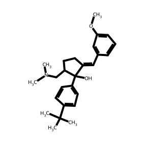 COc1cccc(/C=C2\CCC(CN(C)C)C2(O)c2ccc(C(C)(C)C)cc2)c1